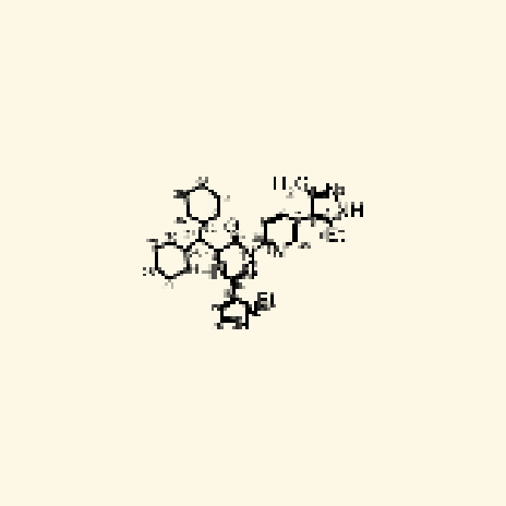 CCc1[nH]nc(C)c1-c1ccc(NC(=O)C(NC(=O)c2ccnn2CC)C(C2CCCCC2)C2CCCCC2)nc1